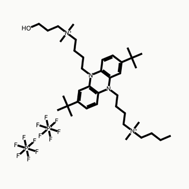 CCCC[N+](C)(C)CCCCN1c2cc(C(C)(C)C)ccc2N(CCCC[N+](C)(C)CCCO)c2cc(C(C)(C)C)ccc21.F[P-](F)(F)(F)(F)F.F[P-](F)(F)(F)(F)F